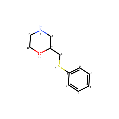 [c]1cccc(SCC2CNCCO2)c1